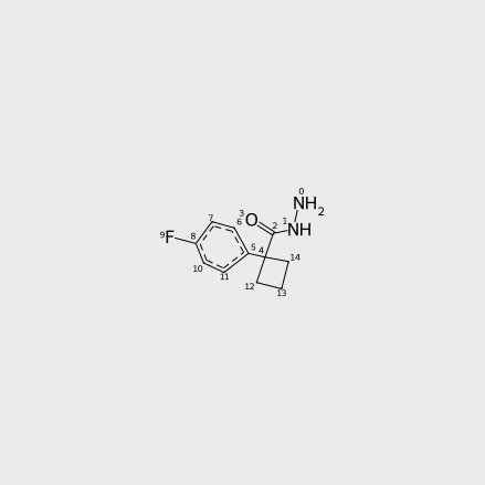 NNC(=O)C1(c2ccc(F)cc2)CCC1